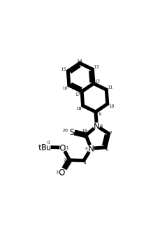 CC(C)(C)OC(=O)Cn1ccn(C2CCc3ccccc3C2)c1=S